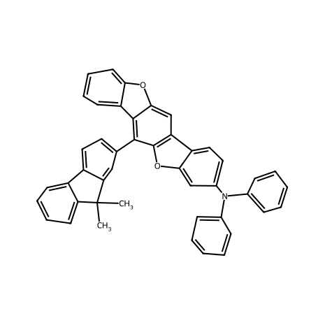 CC1(C)c2ccccc2-c2ccc(-c3c4oc5cc(N(c6ccccc6)c6ccccc6)ccc5c4cc4oc5ccccc5c34)cc21